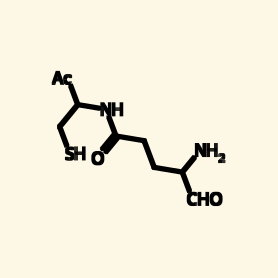 CC(=O)C(CS)NC(=O)CCC(N)C=O